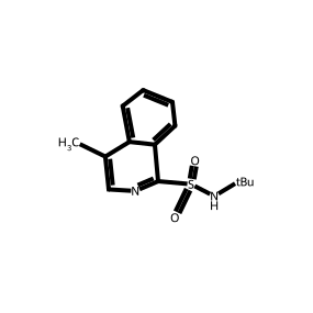 Cc1cnc(S(=O)(=O)NC(C)(C)C)c2ccccc12